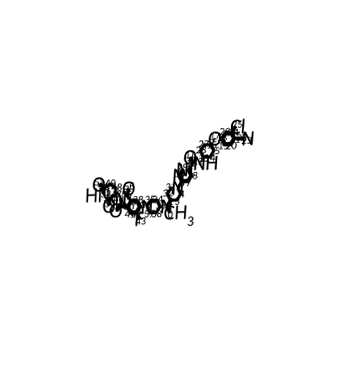 CN(C1CCN(c2ccc(C(=O)N[C@H]3CC[C@H](Oc4ccc(C#N)c(Cl)c4)CC3)nn2)CC1)C1CCN(c2cc3c(cc2F)C(=O)N(C2CCC(=O)NC2=O)C3=O)CC1